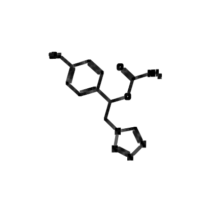 CC(C)(C)c1ccc(C(Cn2cnnn2)OC(N)=O)cc1